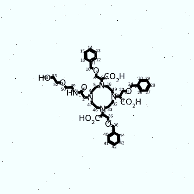 O=C(CN1CCN(C(COCc2ccccc2)C(=O)O)CCN(C(COCc2ccccc2)C(=O)O)CCN(C(COCc2ccccc2)C(=O)O)CC1)NCCOCCO